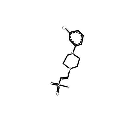 O=S(=O)(F)/C=C/N1CCN(c2cccc(Cl)c2)CC1